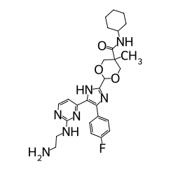 CC1(C(=O)NC2CCCCC2)COC(c2nc(-c3ccc(F)cc3)c(-c3ccnc(NCCN)n3)[nH]2)OC1